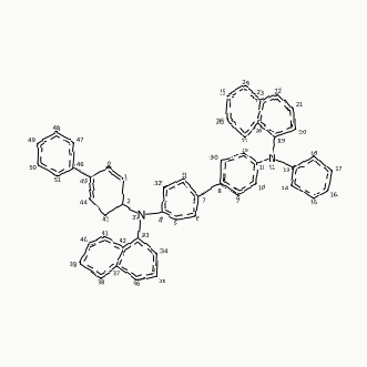 C1=CC(N(c2ccc(-c3ccc(N(c4ccccc4)c4cccc5ccccc45)cc3)cc2)c2cccc3ccccc23)CC=C1c1ccccc1